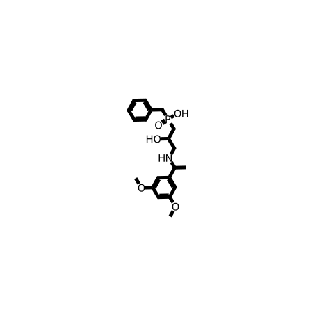 COc1cc(OC)cc(C(C)NCC(O)CP(=O)(O)Cc2ccccc2)c1